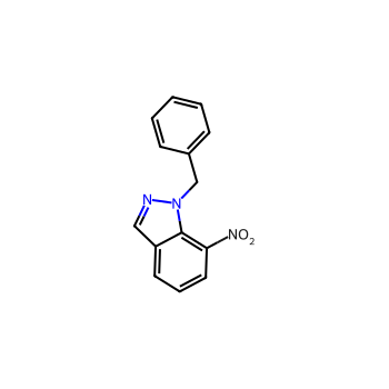 O=[N+]([O-])c1cccc2cnn(Cc3ccccc3)c12